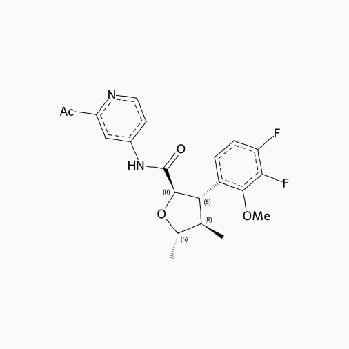 COc1c([C@@H]2[C@@H](C)[C@H](C)O[C@H]2C(=O)Nc2ccnc(C(C)=O)c2)ccc(F)c1F